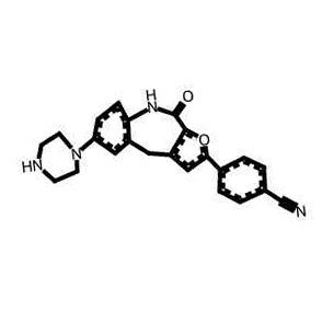 N#Cc1ccc(-c2cc3c(o2)C(=O)Nc2ccc(N4CCNCC4)cc2C3)cc1